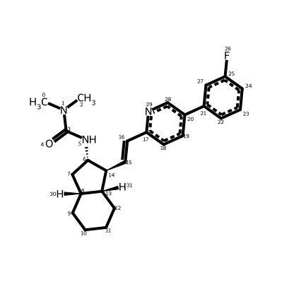 CN(C)C(=O)N[C@H]1C[C@H]2CCCC[C@H]2[C@@H]1C=Cc1ccc(-c2cccc(F)c2)cn1